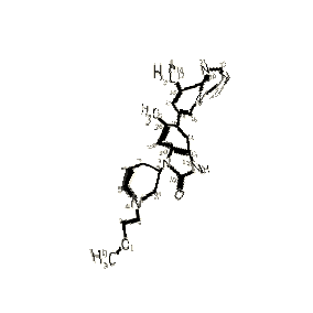 COCCN1CCCC(n2c(=O)[nH]c3cc(-c4cc(C)c5ncnn5c4)c(C)cc32)C1